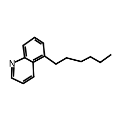 CCCCCCc1cccc2ncccc12